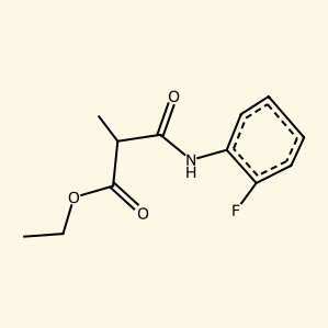 CCOC(=O)C(C)C(=O)Nc1ccccc1F